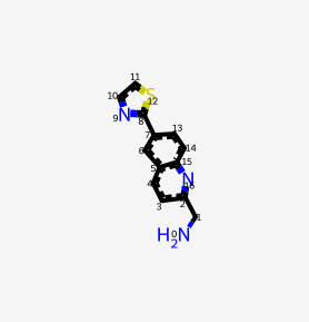 NCc1ccc2cc(-c3nccs3)ccc2n1